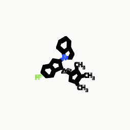 CC1=C(C)C(C)=[C]([Zr+2][CH]2C(n3ccc4ccccc43)=Cc3ccccc32)C1.[F-].[F-]